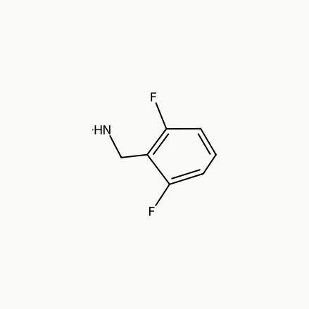 [NH]Cc1c(F)cccc1F